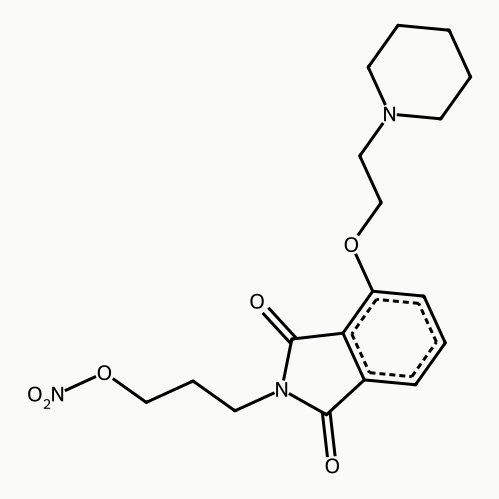 O=C1c2cccc(OCCN3CCCCC3)c2C(=O)N1CCCO[N+](=O)[O-]